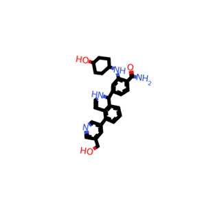 NC(=O)c1ccc(C2NC=Cc3c(-c4cncc(CO)c4)cccc32)cc1NC1CCC(O)CC1